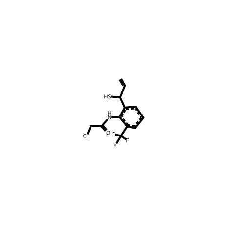 C=CC(S)c1cccc(C(F)(F)F)c1NC(=O)CCl